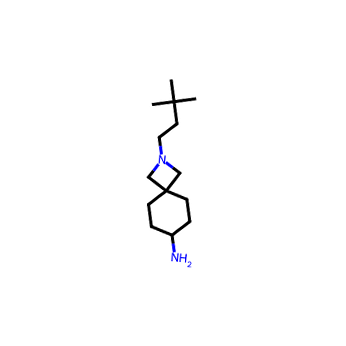 CC(C)(C)CCN1CC2(CCC(N)CC2)C1